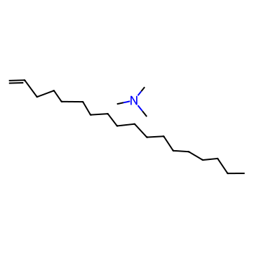 C=CCCCCCCCCCCCCCCCC.CN(C)C